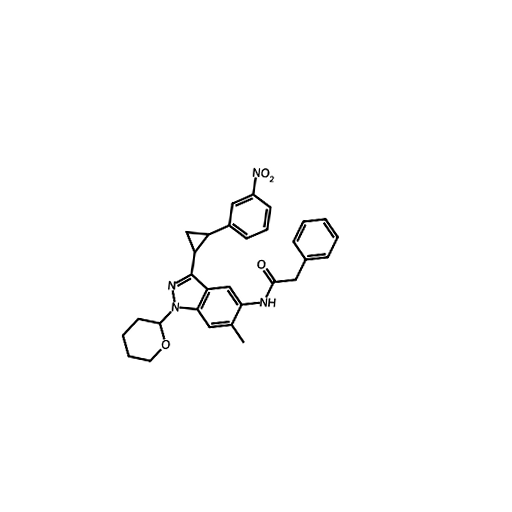 Cc1cc2c(cc1NC(=O)Cc1ccccc1)c(C1CC1c1cccc([N+](=O)[O-])c1)nn2C1CCCCO1